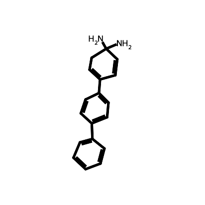 NC1(N)C=CC(c2ccc(-c3ccccc3)cc2)=CC1